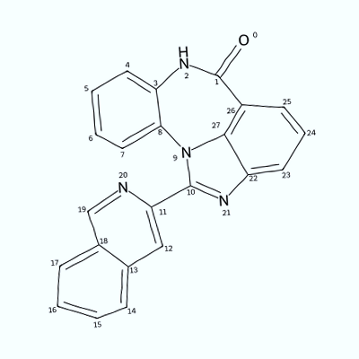 O=C1Nc2ccccc2-n2c(-c3cc4ccccc4cn3)nc3cccc1c32